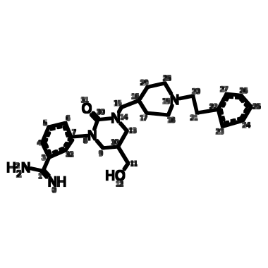 N=C(N)c1cccc(N2CC(CO)CN(CC3CCN(CCc4ccccc4)CC3)C2=O)c1